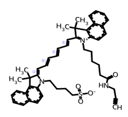 C#CCNC(=O)CCCCC[N+]1=C(/C=C/C=C/C=C/C=C2\N(CCCCS(=O)(=O)[O-])c3ccc4ccccc4c3C2(C)C)C(C)(C)c2c1ccc1ccccc21